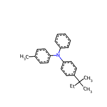 CCC(C)(C)c1ccc(N(c2ccccc2)c2ccc(C)cc2)cc1